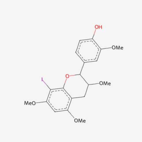 COc1cc(C2Oc3c(I)c(OC)cc(OC)c3CC2OC)ccc1O